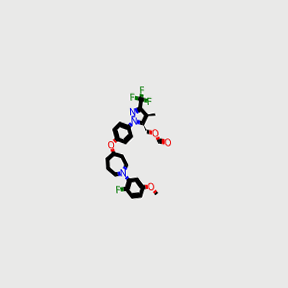 COc1ccc(F)c(N2CCCC(Oc3ccc(N4N=C(C(F)(F)F)[C@@H](C)[C@@H]4COC=O)cc3)CC2)c1